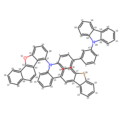 c1cc(-c2ccc(N(c3ccccc3-c3ccc4sc5ccccc5c4c3)c3cccc4oc5c6ccccc6ccc5c34)cc2)cc(-n2c3ccccc3c3ccccc32)c1